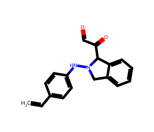 C=Cc1ccc(NN2Cc3ccccc3C2C(=O)C=O)cc1